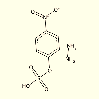 NN.O=[N+]([O-])c1ccc(OS(=O)(=O)O)cc1